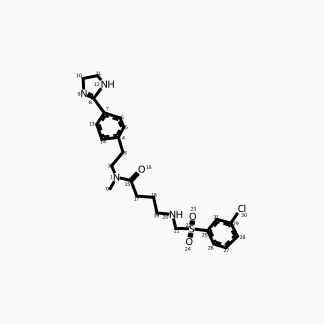 CN(CCc1ccc(C2=NCCN2)cc1)C(=O)CCCNCS(=O)(=O)c1cccc(Cl)c1